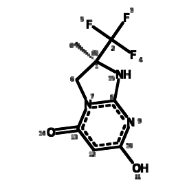 C[C@@]1(C(F)(F)F)Cn2c(nc(O)cc2=O)N1